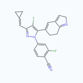 N#Cc1ccc(-n2nc(C=C3CC3)c(F)c2C2=CC3=CCN=C3CC2)cc1F